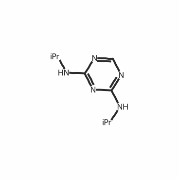 CC(C)Nc1ncnc(NC(C)C)n1